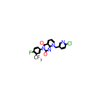 O=c1nc2n(Cc3ccc(Cl)nc3)cccc-2c(=O)n1-c1ccc(F)c(C(F)(F)F)c1